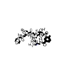 Cc1ccc(C(=O)NC/C(=C/N)N=N)cc1S(=O)OCC(C)(O)C(=O)[C@H](CC(C)C)NC(=O)CNC(=O)[C@H](CC(C)C)NC(=O)CNC(=O)CN1CCOCC1